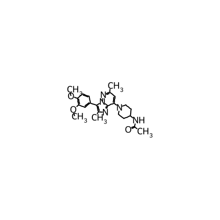 COc1ccc(-c2c(C)nc3c(N4CCC(NC(C)=O)CC4)cc(C)nn23)cc1OC